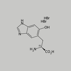 Br.Br.N[C@@H](Cc1cc2nc[nH]c2cc1O)C(=O)O